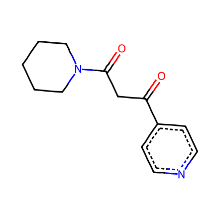 O=C(CC(=O)N1CCCCC1)c1ccncc1